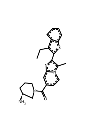 CCc1c(-c2nc3cc(C(=O)N4CCC[C@H](N)C4)ccn3c2C)sc2ccccc12